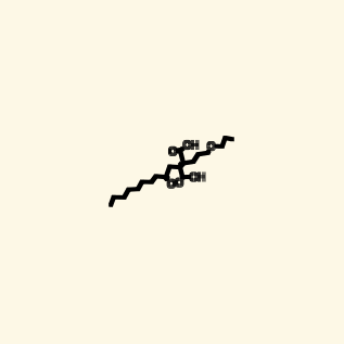 CCCCCCCCC(=O)CC(C(=O)O)=C(CCCOCCC)C(=O)O